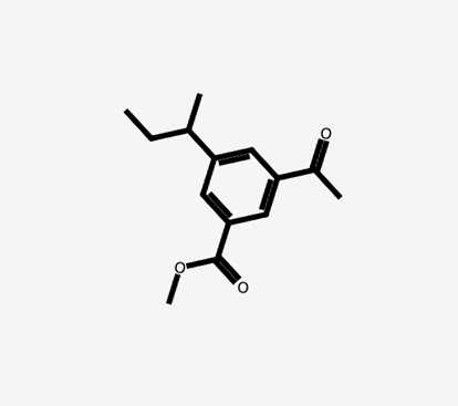 CCC(C)c1cc(C(C)=O)cc(C(=O)OC)c1